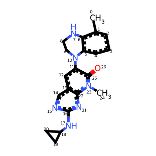 Cc1cccc2c1NCCN2c1cc2cnc(NC3CC3)nc2n(C)c1=O